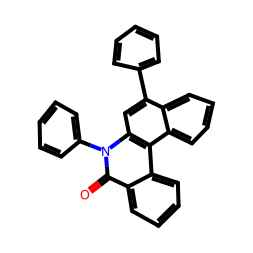 O=c1c2ccccc2c2c3ccccc3c(-c3ccccc3)cc2n1-c1ccccc1